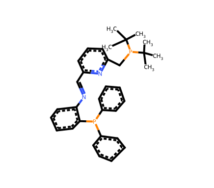 CC(C)(C)P(Cc1cccc(/C=N/c2ccccc2P(c2ccccc2)c2ccccc2)n1)C(C)(C)C